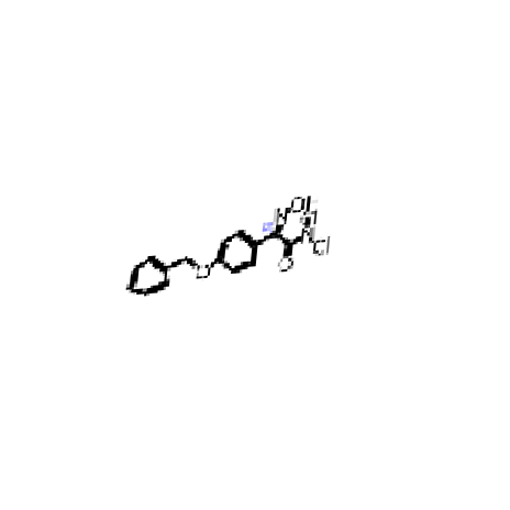 O=C(/C(=N\O)c1ccc(OCc2ccccc2)cc1)N(Cl)Cl